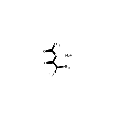 CC(=O)OC(=O)[C@H](C)N.[NaH]